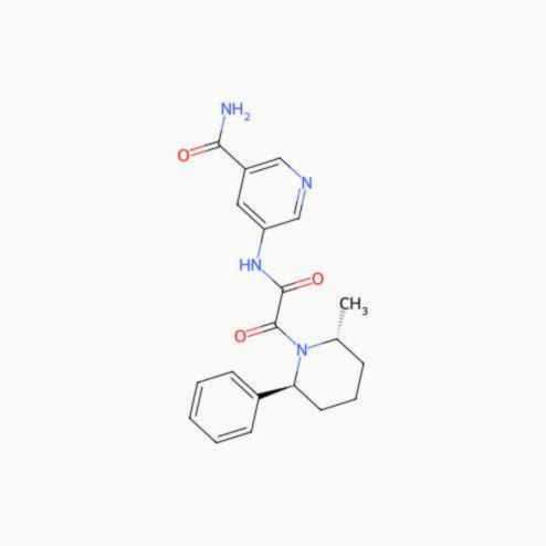 C[C@@H]1CCC[C@@H](c2ccccc2)N1C(=O)C(=O)Nc1cncc(C(N)=O)c1